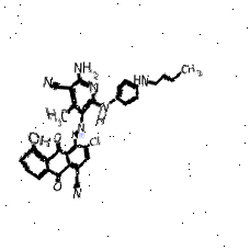 CCCCNc1ccc(Nc2nc(N)c(C#N)c(C)c2/N=N/c2c(Cl)cc(C#N)c3c2C(=O)c2c(O)cccc2C3=O)cc1